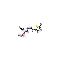 C#C/C(=C\C=C/Cc1ccc(C)s1)OCC